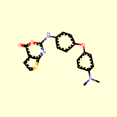 CN(C)c1ccc(Oc2ccc(Nc3nc4sccc4c(=O)o3)cc2)cc1